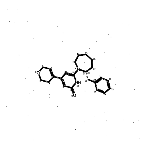 O=c1cc(C2=CCOCC2)cc(N2CCCCC[C@@H]2Cc2ccccc2)[nH]1